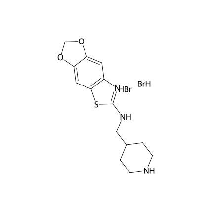 Br.Br.c1c2c(cc3sc(NCC4CCNCC4)nc13)OCO2